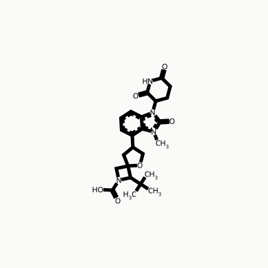 Cn1c(=O)n(C2CCC(=O)NC2=O)c2cccc(C3COC4(C3)CN(C(=O)O)C4C(C)(C)C)c21